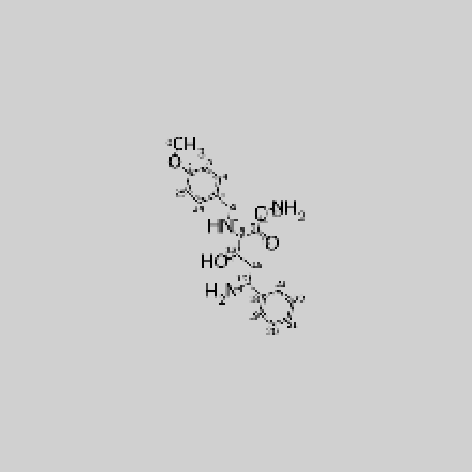 COc1ccc(CNC(C(=O)ON)C(O)CC(N)c2ccccc2)cc1